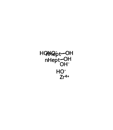 CCCCCCCO.CCCCCCCO.[OH-].[OH-].[OH-].[OH-].[Zr+4]